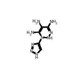 NC1=NNN(c2c[nH]nn2)C(N)=C1N